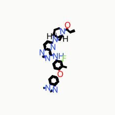 C=CC(=O)N1CC[C@@H]2C[C@H]1CN2c1ccc2ncnc(Nc3ccc(Oc4ccc5c(c4)ncn5C)c(C)c3F)c2n1